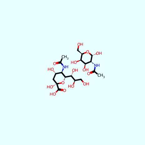 CC(=O)N[C@@H]1[C@@H](O)[C@@H](O)[C@@H](CO)O[C@@H]1O.CC(=O)N[C@H]1[C@H]([C@H](O)[C@H](O)CO)O[C@@](O)(C(=O)O)C[C@@H]1O